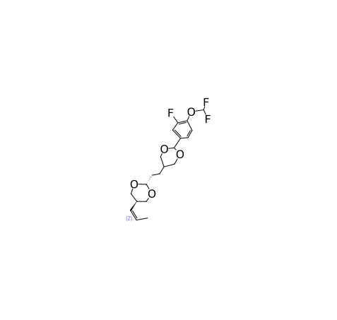 C/C=C\[C@H]1CO[C@H](CCC2COC(c3ccc(OC(F)F)c(F)c3)OC2)OC1